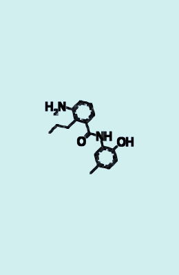 CCCc1c(N)cccc1C(=O)Nc1cc(C)ccc1O